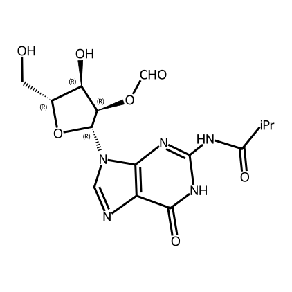 CC(C)C(=O)Nc1nc2c(ncn2[C@@H]2O[C@H](CO)[C@@H](O)[C@H]2OC=O)c(=O)[nH]1